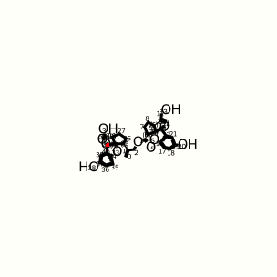 C=C(COC(=O)[C@@H]1CC[C@@H](C(=C)CO)[C@@]12Oc1ccc(O)cc1C2=O)[C@@H]1CC[C@@H](C(=O)O)[C@]12Oc1ccc(O)cc1C2=O